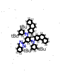 CC(C)(C)c1cc(N2c3cc4c(ccc5ccccc54)cc3B3c4cc5ccc6ccccc6c5cc4N(c4cc(C(C)(C)C)cc(C(C)(C)C)c4)c4cc(-c5ncc6ccccc6n5)cc2c43)cc(C(C)(C)C)c1